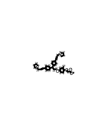 COC(=O)COc1ccc(OCC=C(c2ccc(C#CCN3CCCC3)cc2)c2ccc(C#CCN3CCCC3)cc2)cc1C